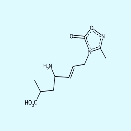 Cc1noc(=O)n1CC=CC(N)CC(C)C(=O)O